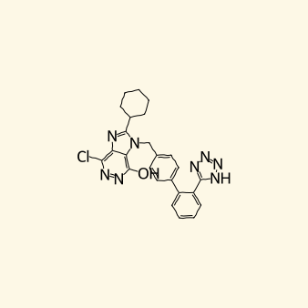 Oc1nnc(Cl)c2nc(C3CCCCC3)n(Cc3ccc(-c4ccccc4-c4nnn[nH]4)cc3)c12